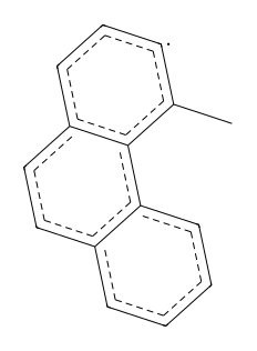 Cc1[c]ccc2ccc3ccccc3c12